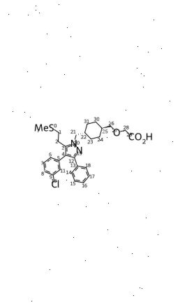 CSCCc1c(-c2cccc(Cl)c2)c(-c2ccccc2)nn1C[C@H]1CC[C@H](COCC(=O)O)CC1